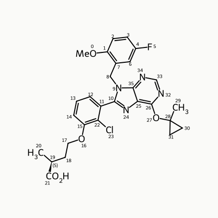 COc1ccc(F)cc1Cn1c(-c2cccc(OCC[C@H](C)C(=O)O)c2Cl)nc2c(OC3(C)CC3)ncnc21